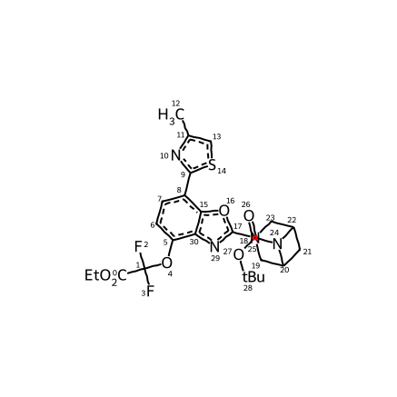 CCOC(=O)C(F)(F)Oc1ccc(-c2nc(C)cs2)c2oc(N3CC4CC(C3)N4C(=O)OC(C)(C)C)nc12